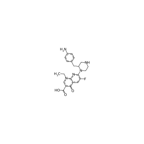 CCn1cc(C(=O)O)c(=O)c2cc(F)c(N3CCNCC3Cc3ccc(N)cc3)nc21